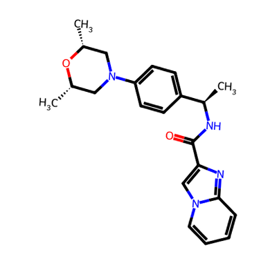 C[C@@H]1CN(c2ccc([C@@H](C)NC(=O)c3cn4ccccc4n3)cc2)C[C@H](C)O1